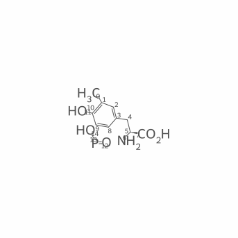 Cc1cc(C[C@H](N)C(=O)O)ccc1O.O=PO